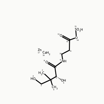 CC(C)(CO)[C@@H](O)C(=O)NCCC(=O)OS(=O)(=O)O.[CaH2].[Zn]